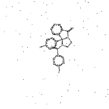 O=C(c1ccc(F)nc1)N1CCN2C(=O)c3ccccc3C12c1ccc(F)cc1